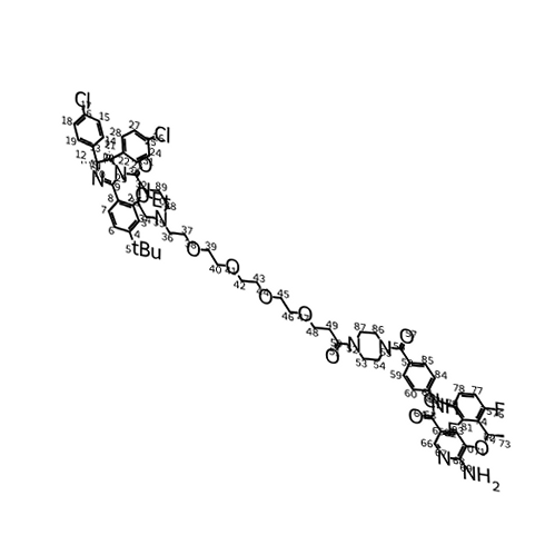 CCOc1cc(C(C)(C)C)ccc1C1=N[C@@](C)(c2ccc(Cl)cc2)[C@@](C)(c2ccc(Cl)cc2)N1C(=O)N1CCN(CCOCCOCCOCCOCCC(=O)N2CCN(C(=O)c3ccc(NC(=O)c4cnc(N)c(O[C@H](C)c5c(F)ccc(Cl)c5F)c4)cc3)CC2)CC1